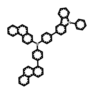 c1ccc(-n2c3ccccc3c3cc(-c4ccc(N(c5ccc(-c6cccc7c6ccc6ccccc67)cc5)c5ccc6c(ccc7ccccc76)c5)cc4)ccc32)cc1